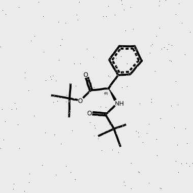 CC(C)(C)OC(=O)[C@H](NC(=O)C(C)(C)C)c1ccccc1